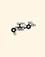 NC(=O)c1c(Nc2cccc(Cl)c2)n[nH]c1/N=C/c1ccc(O)c([N+](=O)[O-])c1